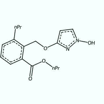 CCCOC(=O)c1cccc(CCC)c1COc1ccn(O)n1